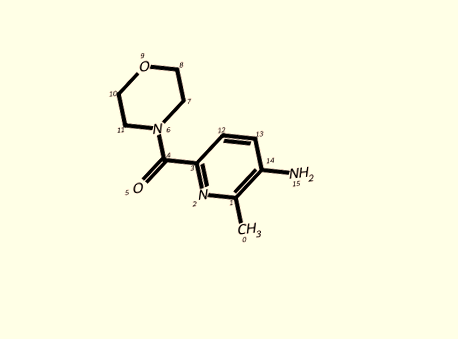 Cc1nc(C(=O)N2CCOCC2)ccc1N